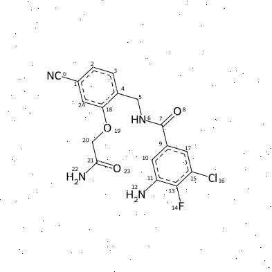 N#Cc1ccc(CNC(=O)c2cc(N)c(F)c(Cl)c2)c(OCC(N)=O)c1